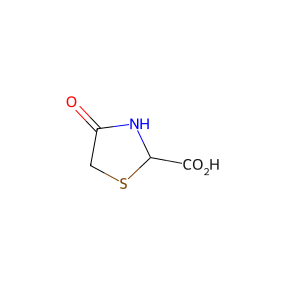 O=C1CSC(C(=O)O)N1